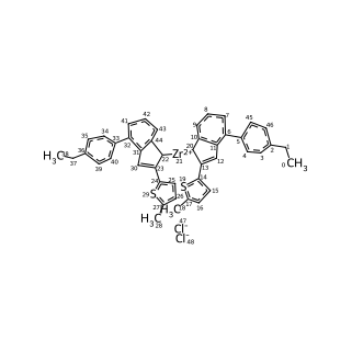 CCc1ccc(-c2cccc3c2C=C(c2ccc(C)s2)[CH]3[Zr+2][CH]2C(c3ccc(C)s3)=Cc3c(-c4ccc(CC)cc4)cccc32)cc1.[Cl-].[Cl-]